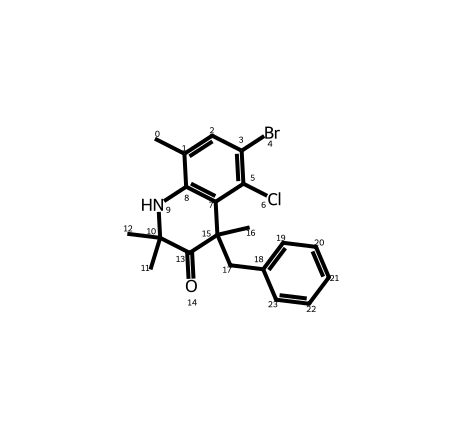 Cc1cc(Br)c(Cl)c2c1NC(C)(C)C(=O)C2(C)Cc1ccccc1